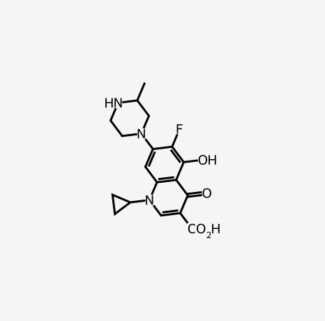 CC1CN(c2cc3c(c(O)c2F)c(=O)c(C(=O)O)cn3C2CC2)CCN1